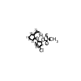 CN(C)C(=O)Oc1cc(Cl)nnc1Oc1ccccc1C1CC1